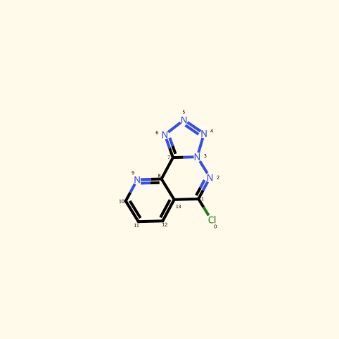 Clc1nn2nnnc2c2ncccc12